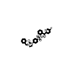 O=C(c1ccc(F)cn1)c1ccccc1NS(=O)(=O)c1ccc(N2CCN(Cc3ccccc3)C2=O)cc1